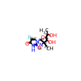 C#CC1(N)C(O)[C@@H]([C@@H](C)O)O[C@H]1n1cc(F)c(=O)[nH]c1=O